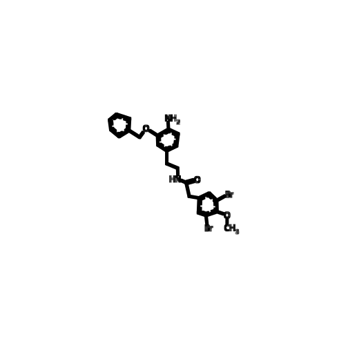 COc1c(Br)cc(CC(=O)NCCc2ccc(N)c(OCc3ccccc3)c2)cc1Br